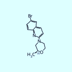 C[C@H]1CN(c2ccc3cc(Br)ccc3n2)CCO1